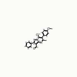 COc1ccc(-c2c(C)nc3c(C=O)c(-c4ccccc4)nn3c2Cl)cc1